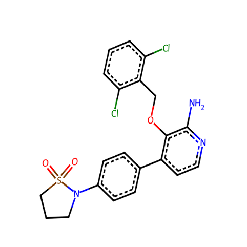 Nc1nccc(-c2ccc(N3CCCS3(=O)=O)cc2)c1OCc1c(Cl)cccc1Cl